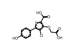 O=C(O)COc1c(C(=O)O)sc(-c2ccc(O)cc2)c1Cl